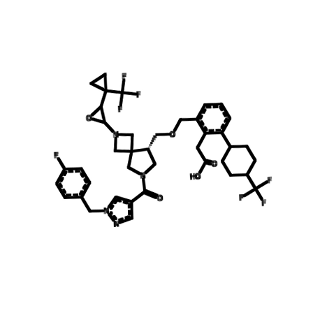 O=C(O)Cc1c(COC[C@@H]2CN(C(=O)c3cnn(Cc4ccc(F)cc4)c3)CC23CN(C2OC2C2(C(F)(F)F)CC2)C3)cccc1C1CCC(C(F)(F)F)CC1